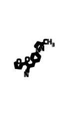 Cc1ccn(-c2ccc(C=C(C#N)C(=O)c3ccco3)cc2)n1